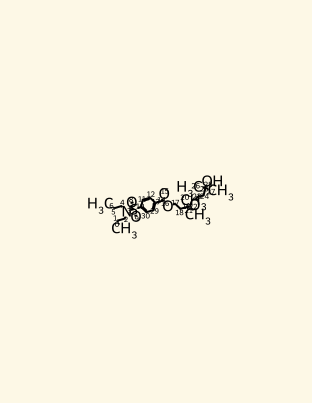 CCCN(CCC)S(=O)(=O)c1ccc(C(=O)OCCC(C)(C)OCCC(C)(C)O)cc1